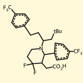 CC(C)(C)CC(CCc1ccc(C(F)(F)F)cc1)N1CCC(F)(F)C(CC(=O)O)C1c1ccc(C(F)(F)F)cc1